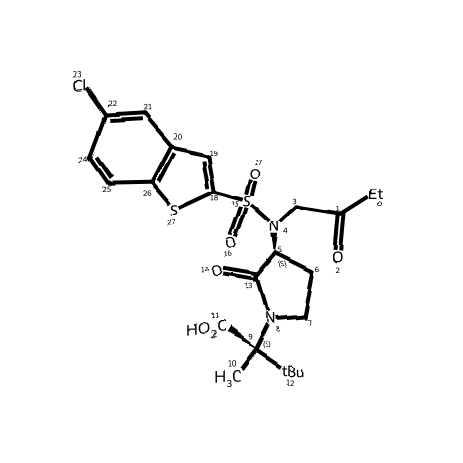 CCC(=O)CN([C@H]1CCN([C@](C)(C(=O)O)C(C)(C)C)C1=O)S(=O)(=O)c1cc2cc(Cl)ccc2s1